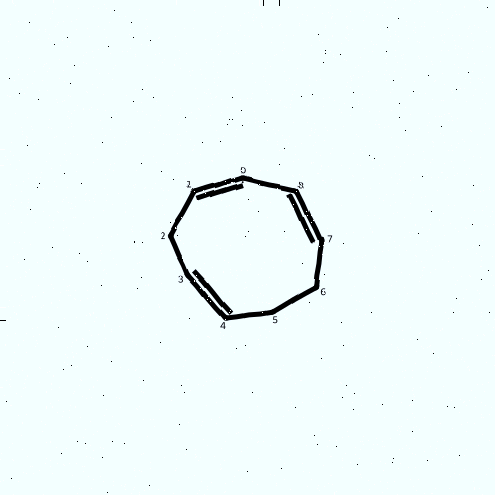 [C]1=CCC=CCCC=C1